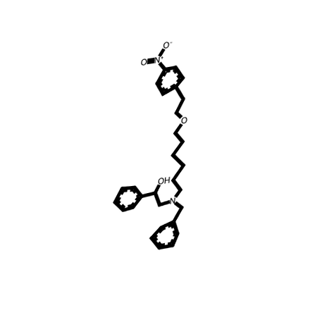 O=[N+]([O-])c1ccc(CCOCCCCCCN(Cc2ccccc2)CC(O)c2ccccc2)cc1